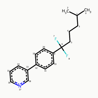 CC(C)CCCC(F)(F)c1ccc(-c2cccnc2)cc1